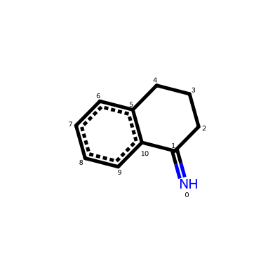 N=C1CCCc2ccccc21